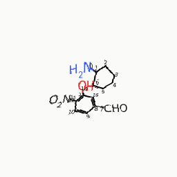 NC1CCCCC1.O=Cc1ccc([N+](=O)[O-])c(O)c1